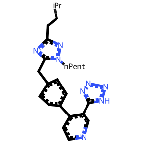 CCCCCn1nc(CCC(C)C)nc1Cc1ccc(-c2ccncc2-c2nnn[nH]2)cc1